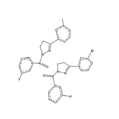 Cc1cccc(C2=NN(C(=O)c3cccc(F)c3)CC2)c1.O=C(c1cccc(F)c1)N1CCC(c2cccc(Br)c2)=N1